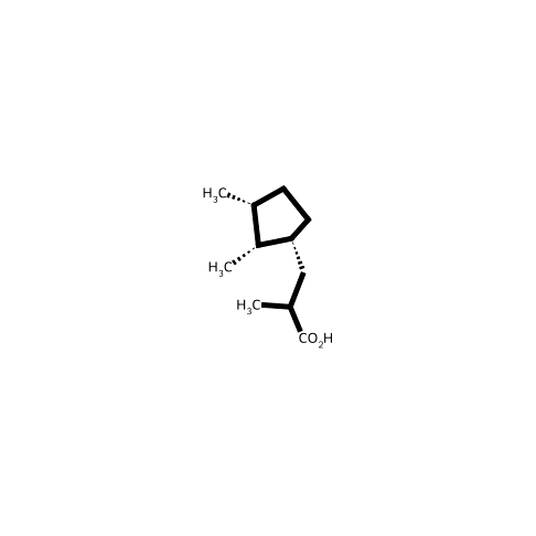 CC(C[C@H]1CC[C@@H](C)[C@H]1C)C(=O)O